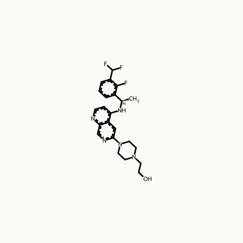 C[C@@H](Nc1ccnc2cnc(N3CCN(CCO)CC3)cc12)c1cccc(C(F)F)c1F